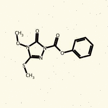 COn1c(SC)nn(C(=O)Oc2ccccc2)c1=O